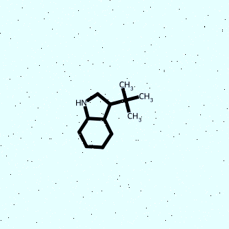 CC(C)(C)C1CNC2CCCCC21